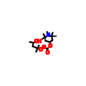 CC(O)CC(C)(C)OOC(=O)OC1CC(C)(C)N(C)C(C)(C)C1